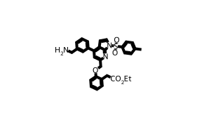 CCOC(=O)Cc1ccccc1OCc1cc(-c2cccc(CN)c2)c2ccn(S(=O)(=O)c3ccc(C)cc3)c2n1